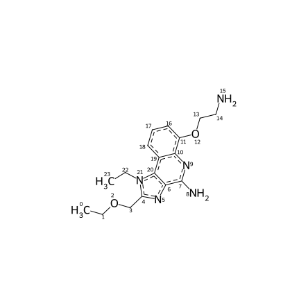 CCOCc1nc2c(N)nc3c(OCCN)cccc3c2n1CC